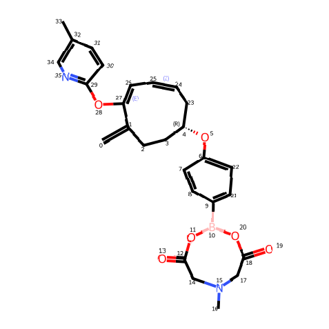 C=C1CC[C@@H](Oc2ccc(B3OC(=O)CN(C)CC(=O)O3)cc2)C/C=C\C=C/1Oc1ccc(C)cn1